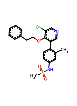 Cc1cc(NS(C)(=O)=O)ccc1-c1cncc(Br)c1OCCc1ccccc1